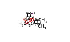 CCc1cc(C)c(OCc2c(I)cccc2C(=O)C(=O)OC)cc1C